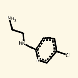 NCCNc1ccc(Cl)cn1